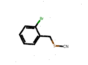 N#CSCc1ccccc1Br